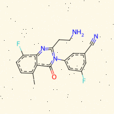 Cc1ccc(F)c2nc(CCN)n(-c3cc(F)cc(C#N)c3)c(=O)c12